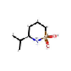 CC(C)[C@H]1CCCS(=O)(=O)N1